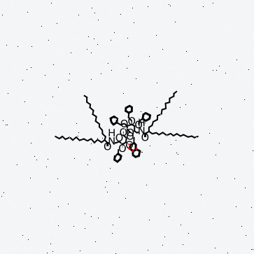 CCCCCCCCCCCCCCC(CCCCCCCCCCCCCC)C(=O)NCC1O[C@H](O[C@H]2OC(CNC(=O)C(CCCCCCCCCCCCCC)CCCCCCCCCCCCCC)[C@@H](OCc3ccccc3)[C@@H](OCc3ccccc3)C2OCc2ccccc2)C(OCc2ccccc2)[C@@H](OCc2ccccc2)[C@@H]1OCc1ccccc1